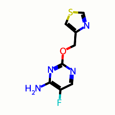 Nc1nc(OCc2cscn2)ncc1F